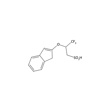 O=S(=O)(O)CC(OC1=Cc2ccccc2C1)C(F)(F)F